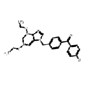 CCON1C=C2C(N=CN2Cc2ccc(C(=O)c3ccc(Cl)cc3)cc2)N(OCC)C1